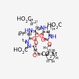 CCOC(=O)[C@@H]1O[C@H]1C(=O)N(C(=O)O)N(C)C(=O)[C@@H](NC(=O)[C@H](CCC(=O)O)NC(=O)[C@H](CC(=O)O)NC(=O)OCc1ccccc1)C(C)C